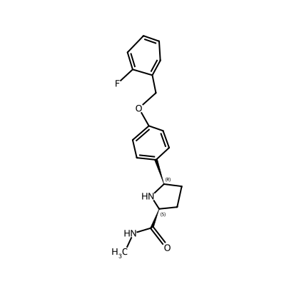 CNC(=O)[C@@H]1CC[C@H](c2ccc(OCc3ccccc3F)cc2)N1